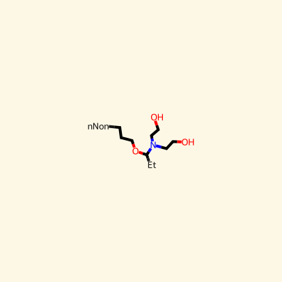 CCCCCCCCCCCCOC(CC)N(CCO)CCO